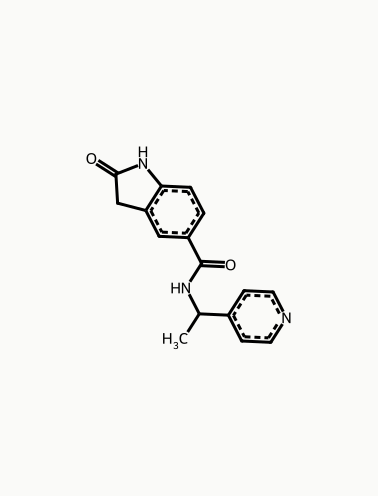 CC(NC(=O)c1ccc2c(c1)CC(=O)N2)c1ccncc1